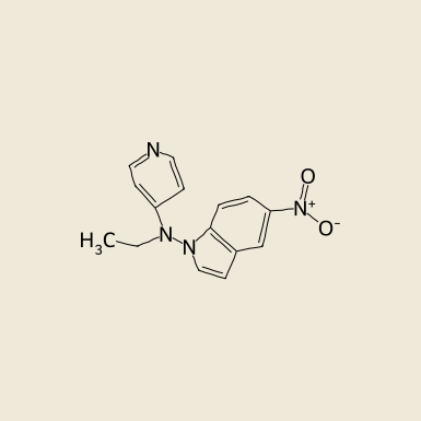 CCN(c1ccncc1)n1ccc2cc([N+](=O)[O-])ccc21